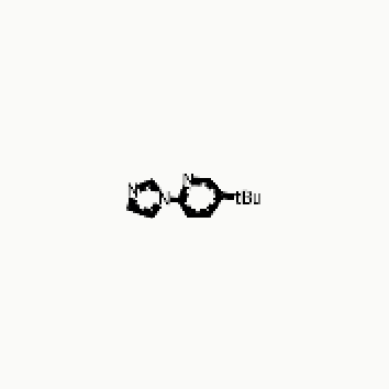 CC(C)(C)c1ccc(-n2ccnc2)nc1